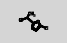 CC(Cl)c1ccc(Cl)o1